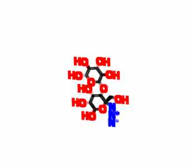 [N-]=[N+]=N[C@]1(CO)O[C@@H](O)[C@H](O)[C@H](O)[C@@H]1O[C@@H]1O[C@H](O)[C@@H](O)[C@H](O)[C@H]1O